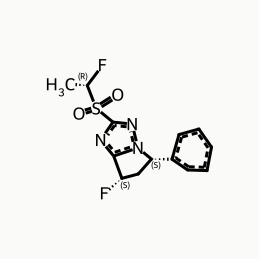 C[C@H](F)S(=O)(=O)c1nc2n(n1)[C@H](c1ccccc1)C[C@@H]2F